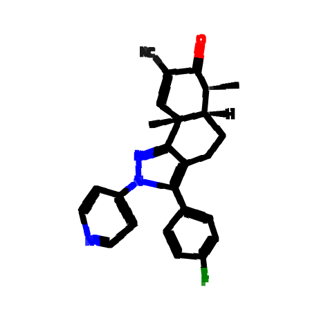 C[C@H]1C(=O)C(C#N)=C[C@@]2(C)c3nn(-c4ccncc4)c(-c4ccc(F)cc4)c3CC[C@H]12